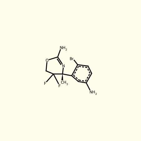 C[C@]1(c2cc(N)ccc2Br)N=C(N)OCC1(F)F